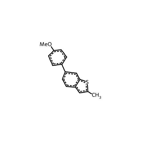 COc1ccc(-c2ccc3cc(C)sc3c2)cc1